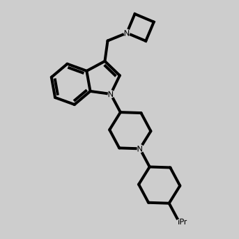 CC(C)C1CCC(N2CCC(n3cc(CN4CCC4)c4ccccc43)CC2)CC1